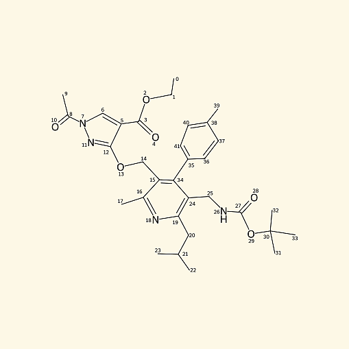 CCOC(=O)c1cn(C(C)=O)nc1OCc1c(C)nc(CC(C)C)c(CNC(=O)OC(C)(C)C)c1-c1ccc(C)cc1